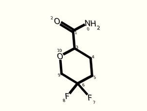 NC(=O)C1CCC(F)(F)CO1